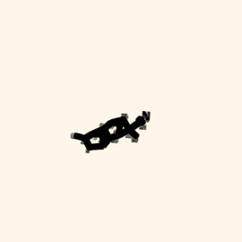 CC1CC2CC1C1C3CC(C21)C(C)(C#N)C3